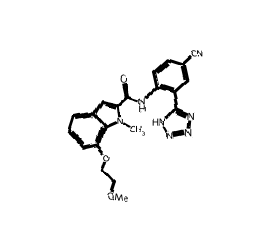 COCCOc1cccc2cc(C(=O)Nc3ccc(C#N)cc3-c3nnn[nH]3)n(C)c12